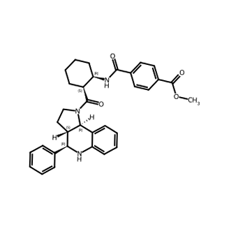 COC(=O)c1ccc(C(=O)N[C@@H]2CCCC[C@@H]2C(=O)N2CC[C@H]3[C@H](c4ccccc4)Nc4ccccc4[C@@H]32)cc1